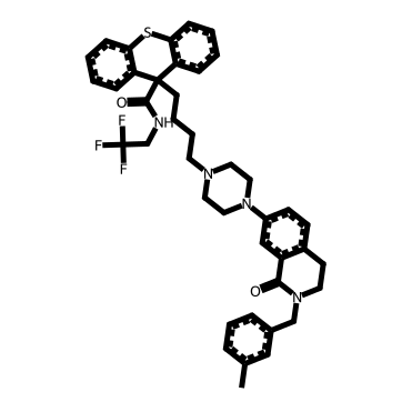 Cc1cccc(CN2CCc3ccc(N4CCN(CCCCC5(C(=O)NCC(F)(F)F)c6ccccc6Sc6ccccc65)CC4)cc3C2=O)c1